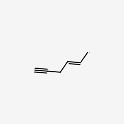 C#CC/C=C/[CH2]